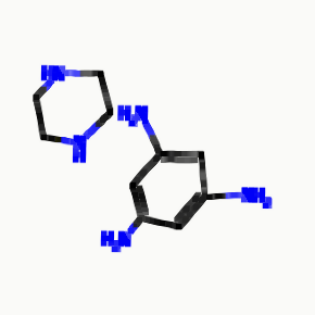 C1CNCCN1.Nc1cc(N)cc(N)c1